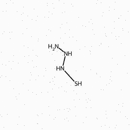 NNNS